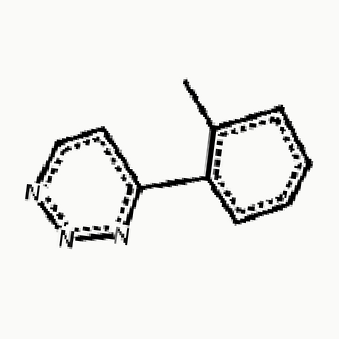 Cc1ccccc1-c1ccnnn1